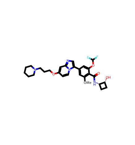 COc1cc(-c2cnc3cc(OCCCN4CCCCC4)ccn23)cc(OC(F)F)c1C(=O)N[C@H]1CC[C@H]1O